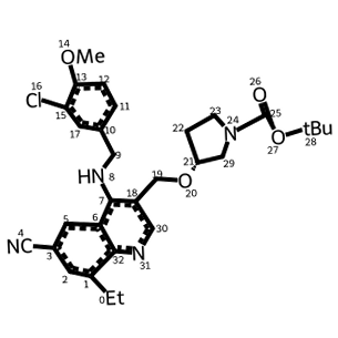 CCc1cc(C#N)cc2c(NCc3ccc(OC)c(Cl)c3)c(CO[C@@H]3CCN(C(=O)OC(C)(C)C)C3)cnc12